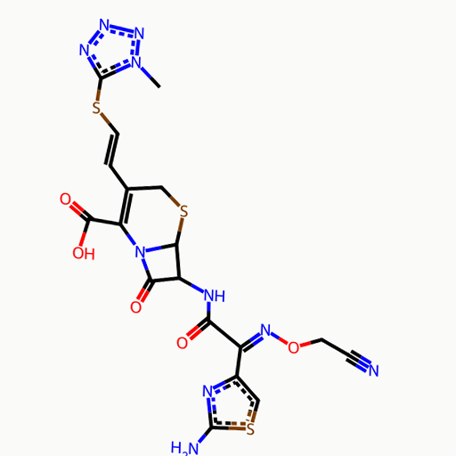 Cn1nnnc1SC=CC1=C(C(=O)O)N2C(=O)C(NC(=O)C(=NOCC#N)c3csc(N)n3)C2SC1